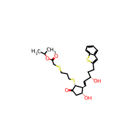 CC(C)OC(=O)CSCCCS[C@H]1C(=O)C[C@@H](O)[C@@H]1/C=C/[C@@H](O)CCc1cc2ccccc2s1